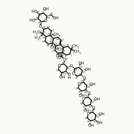 CC1(C)CC[C@@]2(C(=O)O[C@@H]3OC[C@H](O)[C@H](O)[C@H]3O[C@@H]3OC[C@H](O[C@@H]4OC[C@@H](O)[C@H](O[C@@H]5OC[C@@H](O)[C@H](O[C@@H]6OC[C@@H](O)[C@H](O)[C@H]6O)[C@H]5O)[C@H]4O)[C@@H](O)[C@H]3O)C(C1)C1=CCC3[C@@]4(C)CC[C@H](O[C@@H]5O[C@H](CO)[C@@H](O)[C@H](O)[C@H]5O)C(C)(C)C4CC[C@@]3(C)[C@]1(C)C[C@H]2O